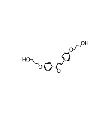 O=C(/C=C/c1ccc(OCCCO)cc1)c1ccc(OCCCO)cc1